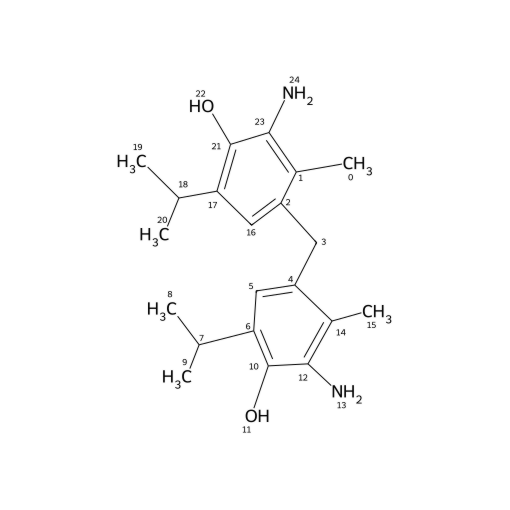 Cc1c(Cc2cc(C(C)C)c(O)c(N)c2C)cc(C(C)C)c(O)c1N